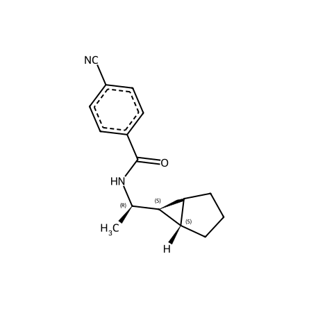 C[C@@H](NC(=O)c1ccc(C#N)cc1)[C@H]1C2CCC[C@@H]21